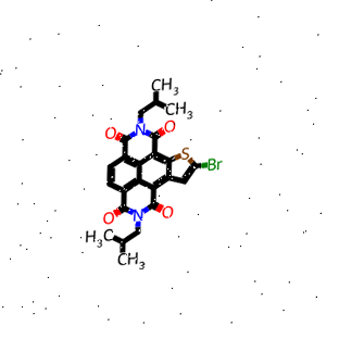 CC(C)CN1C(=O)c2ccc3c4c(c5sc(Br)cc5c(c24)C1=O)C(=O)N(CC(C)C)C3=O